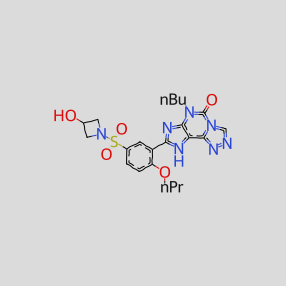 CCCCn1c(=O)n2cnnc2c2[nH]c(-c3cc(S(=O)(=O)N4CC(O)C4)ccc3OCCC)nc21